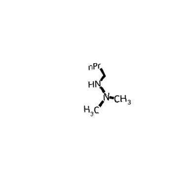 CCCCNN(C)C